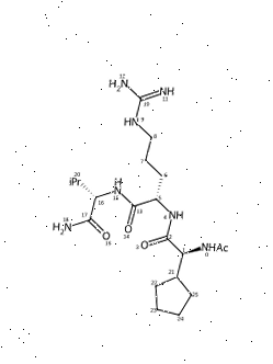 CC(=O)N[C@H](C(=O)N[C@@H](CCCNC(=N)N)C(=O)N[C@H](C(N)=O)C(C)C)C1CCCC1